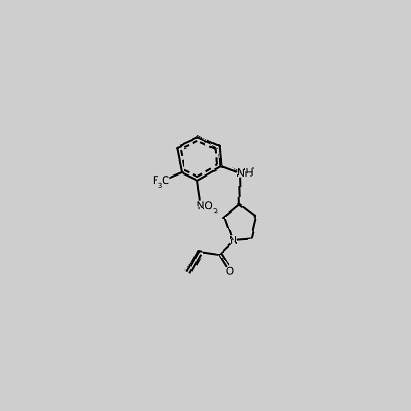 C=CC(=O)N1CCC(Nc2cccc(C(F)(F)F)c2[N+](=O)[O-])C1